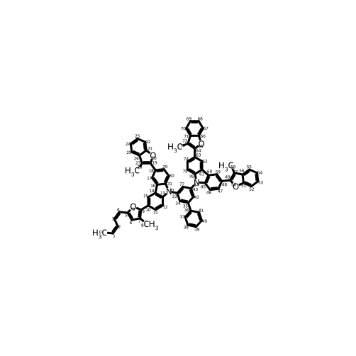 C/C=C\C=C/c1cc(C)c(-c2ccc3c(c2)c2cc(-c4oc5ccccc5c4C)ccc2n3-c2cc(-c3ccccc3)cc(-n3c4ccc(-c5oc6ccccc6c5C)cc4c4cc(-c5oc6ccccc6c5C)ccc43)c2)o1